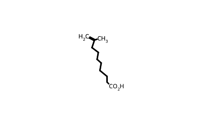 C=C(C)CCCCCCCC(=O)O